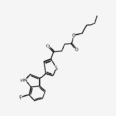 CCCCOC(=O)CCC(=O)c1cc(-c2c[nH]c3c(F)cccc23)cs1